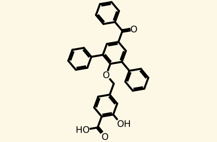 O=C(c1ccccc1)c1cc(-c2ccccc2)c(OCc2ccc(C(=O)O)c(O)c2)c(-c2ccccc2)c1